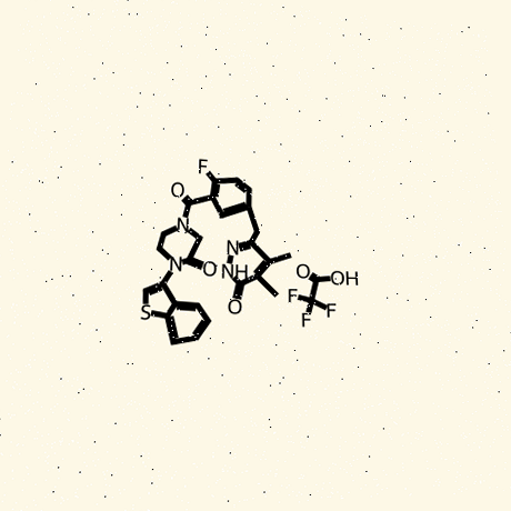 Cc1c(Cc2ccc(F)c(C(=O)N3CCN(c4csc5ccccc45)C(=O)C3)c2)n[nH]c(=O)c1C.O=C(O)C(F)(F)F